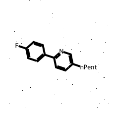 CCCCCc1ccc(-c2ccc(F)cc2)nc1